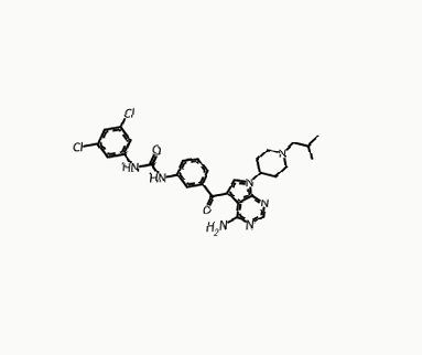 CC(C)CN1CCC(n2cc(C(=O)c3cccc(NC(=O)Nc4cc(Cl)cc(Cl)c4)c3)c3c(N)ncnc32)CC1